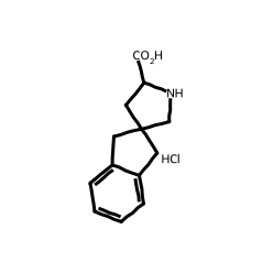 Cl.O=C(O)C1CC2(CN1)Cc1ccccc1C2